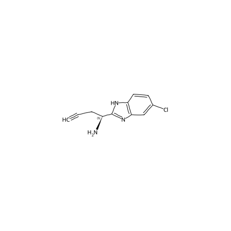 C#CC[C@H](N)c1nc2cc(Cl)ccc2[nH]1